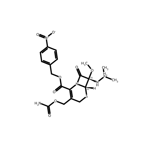 CO[C@@]1(N[PH2](C)C)C(=O)N2C(C(=O)OCc3ccc([N+](=O)[O-])cc3)=C(COC(N)=O)CS[C@H]21